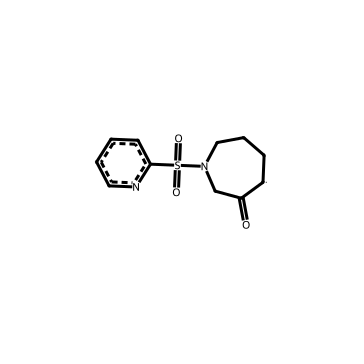 O=C1[CH]CCCN(S(=O)(=O)c2ccccn2)C1